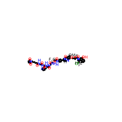 COc1cc2c(cc1OCC13CC(C(=O)N4CC(CCl)c5c4cc(O)c4cccc(C)c54)(C1)C3)N=C[C@@H]1CC(c3ccc(NC(=O)C(OCNC(=O)CNC(=O)[C@H](Cc4ccccc4)NC(=O)CNC(=O)CNC(=O)CCCCCN4C(=O)C=CC4=O)C(F)(F)F)cc3)=CN1C2=O